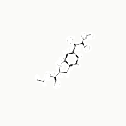 CCOC(=O)C1Cc2ccc(C(=O)C(=O)OC)cc2S1